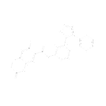 O=C1COc2cc(F)c(C(=O)Nc3cccc(-c4nncn4-c4ccccc4)n3)cc2N1